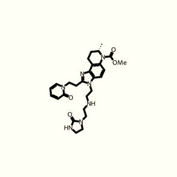 COC(=O)N1c2ccc3c(nc(CCn4ccccc4=O)n3CCNCCN3CCNC3=O)c2CC[C@@H]1C